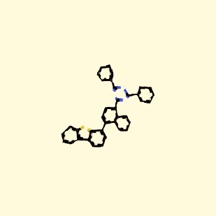 c1ccc(-c2nc(-c3ccccc3)nc(-c3ccc(-c4cccc5c4sc4ccccc45)c4ccccc34)n2)cc1